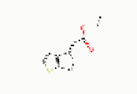 CCOC(=O)/C=C1\CCc2sccc21